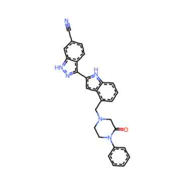 N#Cc1ccc2c(-c3cc4c(CN5CCN(c6ccccc6)C(=O)C5)cccc4[nH]3)n[nH]c2c1